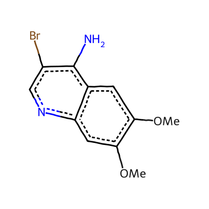 COc1cc2ncc(Br)c(N)c2cc1OC